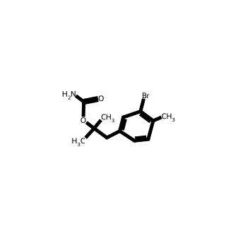 Cc1ccc(CC(C)(C)OC(N)=O)cc1Br